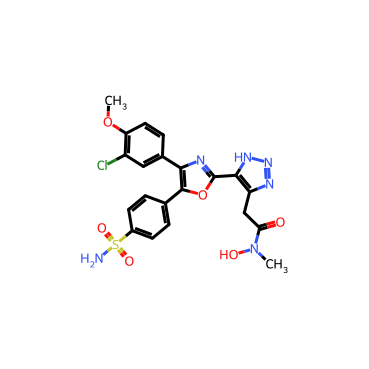 COc1ccc(-c2nc(-c3[nH]nnc3CC(=O)N(C)O)oc2-c2ccc(S(N)(=O)=O)cc2)cc1Cl